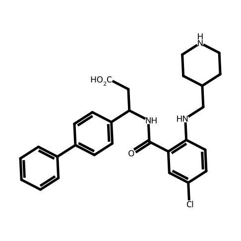 O=C(O)CC(NC(=O)c1cc(Cl)ccc1NCC1CCNCC1)c1ccc(-c2ccccc2)cc1